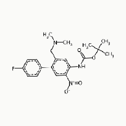 CN(C)Cc1cc(NC(=O)OC(C)(C)C)c([N+](=O)[O-])cc1-c1ccc(F)cc1